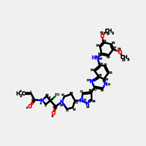 C=CC(=O)N1CC(F)(C(=O)N2CCC(n3cc(-c4cnc5ccc(Nc6cc(OC)cc(OC)c6)cc5n4)cn3)CC2)C1